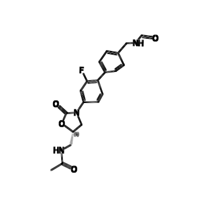 CC(=O)NC[C@H]1CN(c2ccc(-c3ccc(CNC=O)cc3)c(F)c2)C(=O)O1